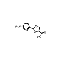 Cc1ccc([C]2OCC(C(=O)O)O2)cc1